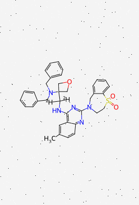 [2H]C([2H])(Nc1nc(N2CCS(=O)(=O)c3ccccc3C2)nc2ccc(C)cc12)C1(N(Cc2ccccc2)Cc2ccccc2)COC1